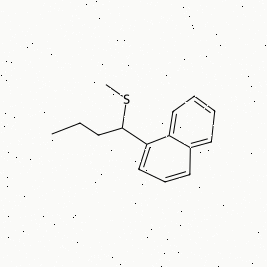 CCCC(SC)c1cccc2ccccc12